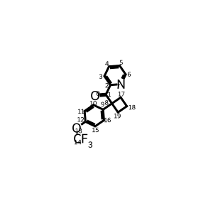 O=C(c1ccccn1)C1(c2ccc(OC(F)(F)F)cc2)CCC1